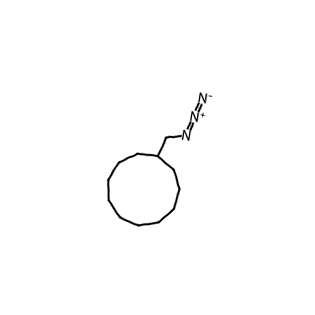 [N-]=[N+]=NCC1CCCCCCCCCC1